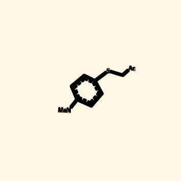 CNc1ccc(SCC(C)=O)cc1